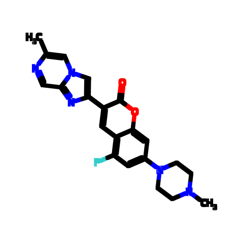 Cc1cn2cc(-c3cc4c(F)cc(N5CCN(C)CC5)cc4oc3=O)nc2cn1